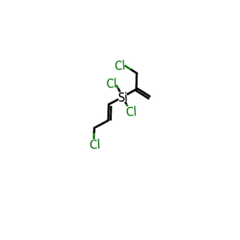 C=C(CCl)[Si](Cl)(Cl)C=CCCl